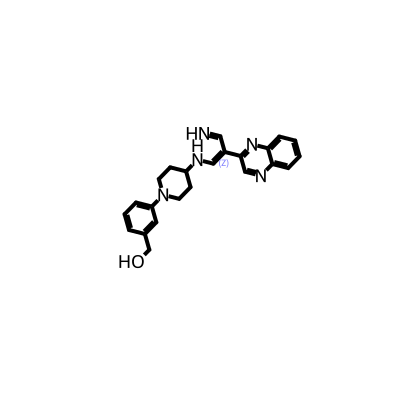 N=C/C(=C\NC1CCN(c2cccc(CO)c2)CC1)c1cnc2ccccc2n1